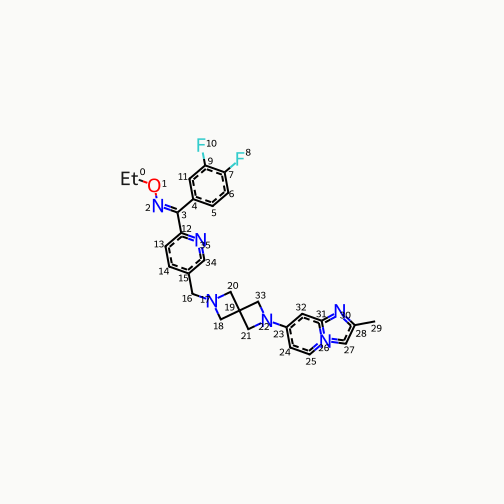 CCON=C(c1ccc(F)c(F)c1)c1ccc(CN2CC3(C2)CN(c2ccn4cc(C)nc4c2)C3)cn1